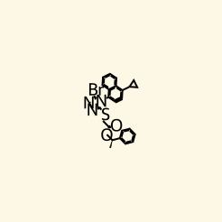 C[C@@H](OC(=O)CSc1nnc(Br)n1-c1c#cc(C2CC2)c2ccccc12)c1ccccc1